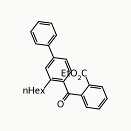 CCCCCCc1cc(-c2ccccc2)ccc1C(=O)c1ccccc1C(=O)OCC